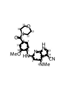 CNc1cc(Nc2ccc(C(=O)N3CCOCC3)cc2OC)nc2[nH]cc(C#N)c12